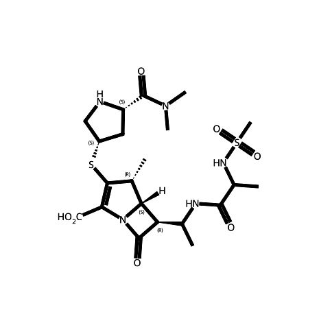 CC(NS(C)(=O)=O)C(=O)NC(C)[C@H]1C(=O)N2C(C(=O)O)=C(S[C@@H]3CN[C@H](C(=O)N(C)C)C3)[C@H](C)[C@H]12